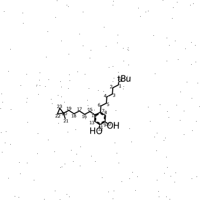 CC(C)(C)CCCCCCc1cc(O)c(O)cc1CCCCCC1(C)CC1